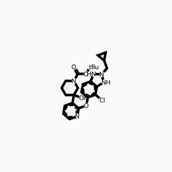 CC(C)(C)OC(=O)N1CCCC(O)(c2cccnc2Oc2ccc3c(c2Cl)NN(CC2CC2)N3)C1